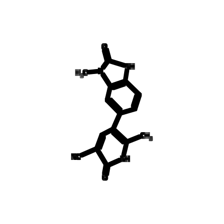 Cc1[nH]c(=O)c(C#N)cc1-c1ccc2[nH]c(=O)n(C)c2c1